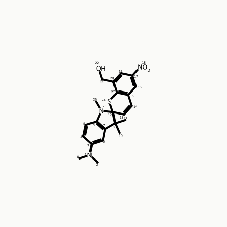 CN(C)c1ccc2c(c1)C(C)(C)C1(C=Cc3cc([N+](=O)[O-])cc(CO)c3S1)N2C